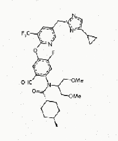 COCC(COC)N(c1cc(F)c(Oc2ncc(Cn3ncc(C4CC4)n3)cc2C(F)(F)F)cc1C=O)C(=O)[C@H]1CC[C@H](C)CC1